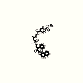 CC(CCNC(=O)C1CCN(C(=O)OC(C)(C)C)CC1)CC(=O)NCCC(C(=O)c1nc2ccc3ccccc3c2o1)c1ccccc1